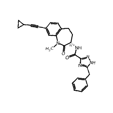 CN1C(=O)[C@@H](NC(=O)c2n[nH]c(Cc3ccccc3)n2)CCc2ccc(C#CC3CC3)cc21